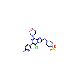 Cc1ccc(-c2nc(N3CCOCC3)c3nc(CN4CCN(S(C)(=O)=O)CC4)cn3c2Cl)cn1